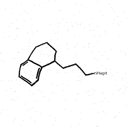 CCCCCCCCCCC1CCCc2ccccc21